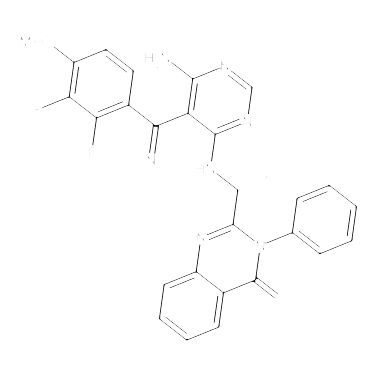 COc1ccc(C(=N)c2c(N)ncnc2N[C@H](C)c2nc3ccccc3c(=O)n2-c2ccccc2)c(F)c1F